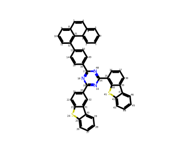 c1ccc2c(c1)ccc1cccc(-c3ccc(-c4nc(-c5ccc6sc7ccccc7c6c5)nc(-c5cccc6c5sc5ccccc56)n4)cc3)c12